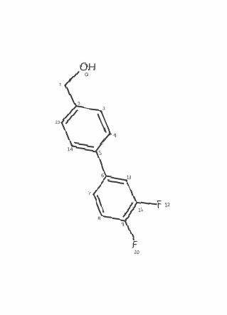 OCc1ccc(-c2ccc(F)c(F)c2)cc1